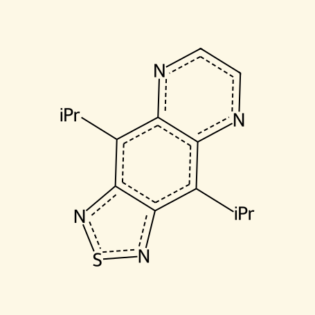 CC(C)c1c2nccnc2c(C(C)C)c2nsnc12